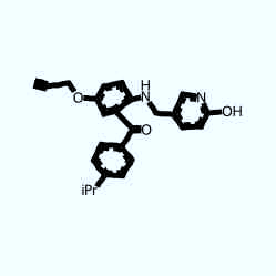 C#CCOc1ccc(NCc2ccc(O)nc2)c(C(=O)c2ccc(C(C)C)cc2)c1